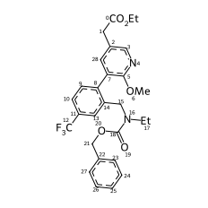 CCOC(=O)Cc1cnc(OC)c(-c2ccc(C(F)(F)F)cc2CN(CC)C(=O)OCc2ccccc2)c1